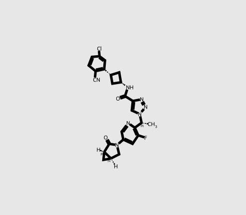 C[C@H](c1ncc(N2C[C@H]3C[C@H]3C2=O)cc1F)n1cc(C(=O)N[C@H]2C[C@@H](c3cc(Cl)ccc3C#N)C2)nn1